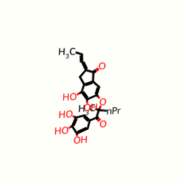 CC=C=C1Cc2c(cc(OC(C)(CCC)C(=O)c3cc(O)c(O)c(O)c3)c(O)c2O)C1=O